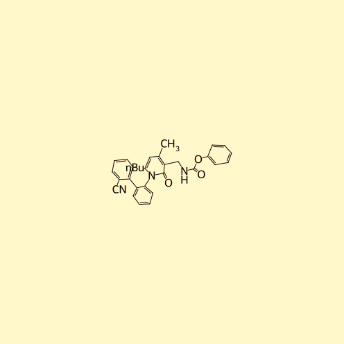 CCCCc1cc(C)c(CNC(=O)Oc2ccccc2)c(=O)n1-c1ccccc1-c1ccccc1C#N